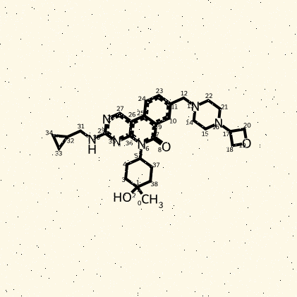 CC1(O)CCC(n2c(=O)c3cc(CN4CCN(C5COC5)CC4)ccc3c3cnc(NCC4CC4)nc32)CC1